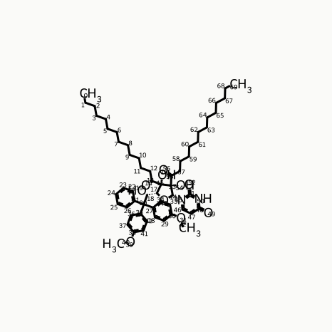 CCCCCCCCCCCCCC(=O)[C@@]1(O)[C@@H](C(O)C(c2ccccc2)(c2ccc(OC)cc2)c2ccc(OC)cc2)O[C@@H](n2ccc(=O)[nH]c2=O)[C@@]1(O)C(=O)CCCCCCCCCCCCC